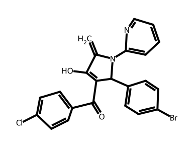 C=C1C(O)=C(C(=O)c2ccc(Cl)cc2)C(c2ccc(Br)cc2)N1c1ccccn1